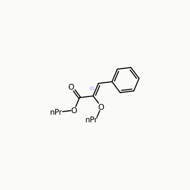 CCCOC(=O)/C(=C/c1ccccc1)OCCC